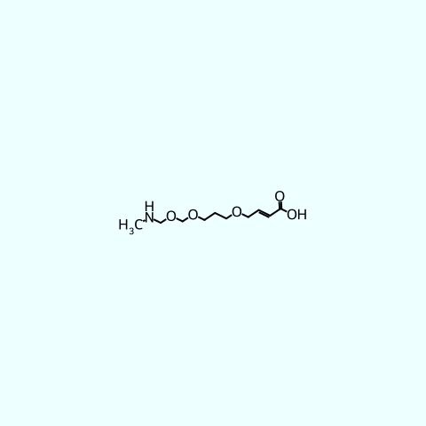 CNCOCOCCCOCC=CC(=O)O